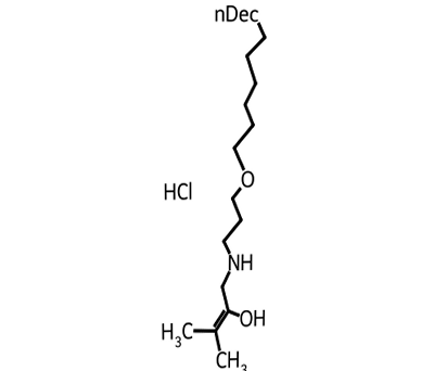 CCCCCCCCCCCCCCCCOCCCNCC(O)=C(C)C.Cl